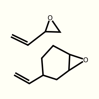 C=CC1CCC2OC2C1.C=CC1CO1